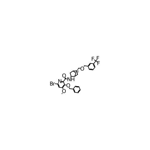 COc1cc(Br)nc(C(=O)NC2CC3CC2C[C@@H]3COCc2cccc(C(F)(F)F)c2)c1OCc1ccccc1